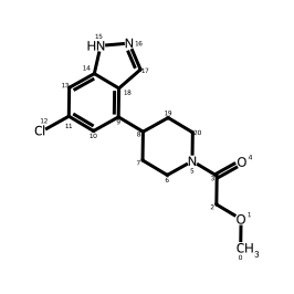 COCC(=O)N1CCC(c2cc(Cl)cc3[nH]ncc23)CC1